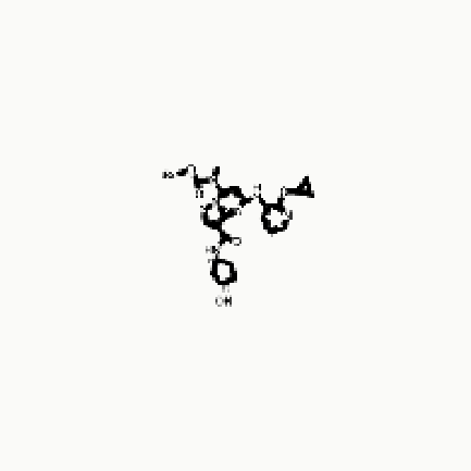 CN(C(=O)OC(C)(C)C)c1cc(Nc2cccnc2OC2CC2)nc2c(C(=O)N[C@H]3CC[C@H](O)C3)cnn12